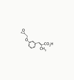 CC(=Cc1cccc(OCC2CO2)c1)C(=O)O